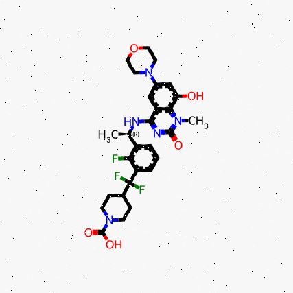 C[C@@H](Nc1nc(=O)n(C)c2c(O)cc(N3CCOCC3)cc12)c1cccc(C(F)(F)C2CCN(C(=O)O)CC2)c1F